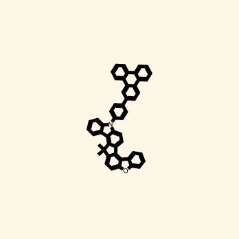 CC1(C)c2ccc3oc4ccccc4c3c2-c2ccc3c(c21)c1ccccc1n3-c1ccc(-c2ccc3c4ccccc4c4ccccc4c3c2)cc1